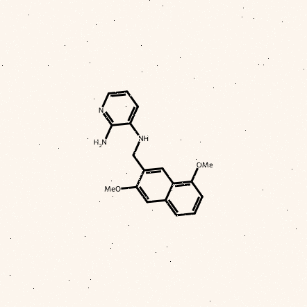 COc1cc2cccc(OC)c2cc1CNc1cccnc1N